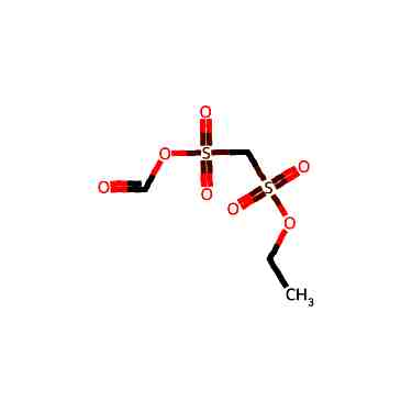 CCOS(=O)(=O)CS(=O)(=O)OC=O